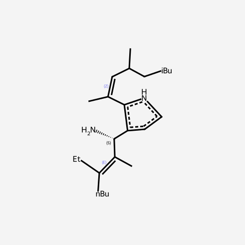 CCCC/C(CC)=C(\C)[C@H](N)c1cc[nH]c1/C(C)=C\C(C)CC(C)CC